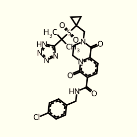 CC(C)(c1nnn[nH]1)S(=O)(=O)C1(CN2CCn3c(ccc(C(=O)NCc4ccc(Cl)cc4)c3=O)C2=O)CC1